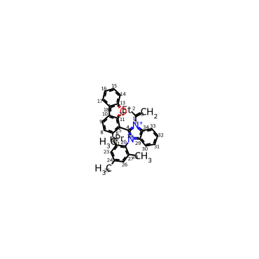 C=C(CC)[n+]1c(-c2c(CCC)ccc3c2oc2ccccc23)n(-c2c(C)cc(C)cc2C)c2ccccc21